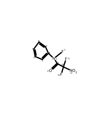 O=C(N(F)c1ccccc1)C(F)(F)[N+](=O)[O-]